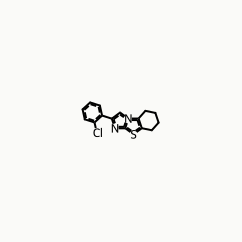 Clc1ccccc1-c1cn2c3c(sc2n1)CCCC3